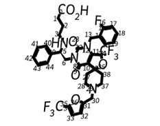 O=C(O)CCCN[C@@H](Cn1c(=O)c2c(n(Cc3c(F)cccc3C(F)(F)F)c1=O)COC21CCN(Cc2ccc(C(F)(F)F)o2)CC1)c1ccccc1